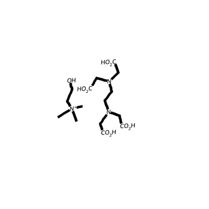 C[N+](C)(C)CCO.O=C(O)CN(CCN(CC(=O)O)CC(=O)O)CC(=O)O